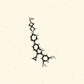 CSN1CC2(C1)CN(c1ccc(-c3ccc4c(C5CC5)c(-c5cc(C)nc(C)c5)[nH]c4c3)cn1)C2